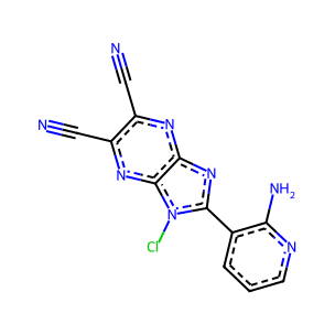 N#Cc1nc2nc(-c3cccnc3N)n(Cl)c2nc1C#N